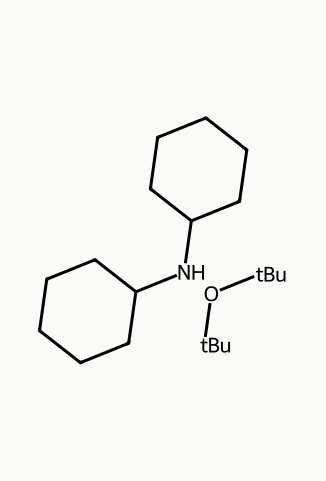 C1CCC(NC2CCCCC2)CC1.CC(C)(C)OC(C)(C)C